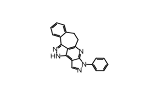 c1ccc(-n2ncc3c4[nH]nc5c4c(nc32)CCc2ccccc2-5)cc1